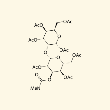 CNC(=O)O[C@H]1[C@H](OC(C)=O)[C@H](O[C@H]2[C@@H](OC(C)=O)O[C@H](COC(C)=O)[C@H](OC(C)=O)[C@H]2OC(C)=O)O[C@H](COC(C)=O)[C@H]1OC(C)=O